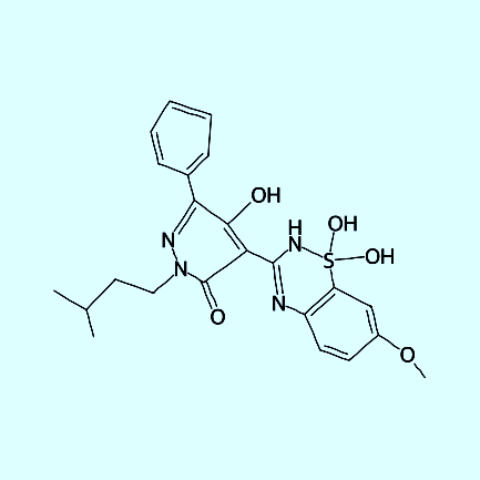 COc1ccc2c(c1)S(O)(O)NC(c1c(O)c(-c3ccccc3)nn(CCC(C)C)c1=O)=N2